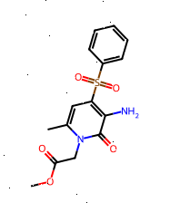 COC(=O)Cn1c(C)cc(S(=O)(=O)c2ccccc2)c(N)c1=O